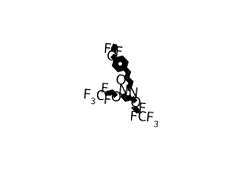 CC(F)(F)Oc1ccc(CC(=O)Cc2nc(OCC(F)(F)C(F)(F)F)cc(OCC(F)(F)C(F)(F)F)n2)cc1